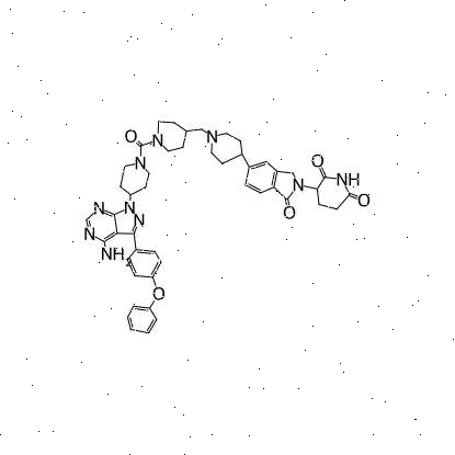 Nc1ncnc2c1c(-c1ccc(Oc3ccccc3)cc1)nn2C1CCN(C(=O)N2CCC(CN3CCC(c4ccc5c(c4)CN(C4CCC(=O)NC4=O)C5=O)CC3)CC2)CC1